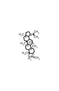 C=C(C)[C@@H]1CC[C@]2(C)CC[C@]3(C)C(CCC4[C@@]5(C)CC[C@H](NC)C(C)(C)C5CC[C@]43C)C12